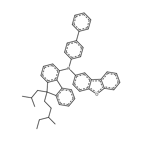 CCC(C)CCC1(CC(C)C)c2ccccc2-c2c(N(c3ccc(-c4ccccc4)cc3)c3ccc4oc5ccccc5c4c3)cccc21